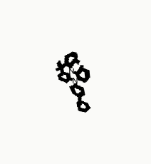 Cc1cccc2c1N1c3c(C)cccc3C(C)(C)c3cccc(c31)N2c1ccc(-c2ccccc2)cc1